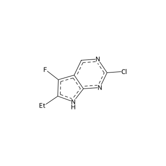 CCc1[nH]c2nc(Cl)ncc2c1F